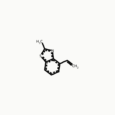 C=Cc1cccc2sc(C)nc12